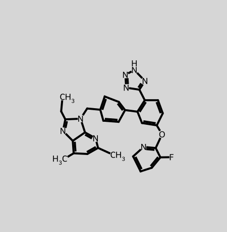 CCc1nc2c(C)cc(C)nc2n1Cc1ccc(-c2cc(Oc3ncccc3F)ccc2-c2nn[nH]n2)cc1